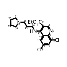 CCOC(=O)c1cnc2c(Cl)cc(Cl)cc2c1NCCCN1CCCC1